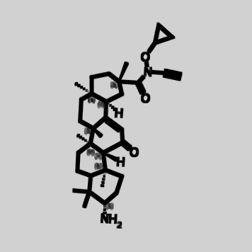 C#CN(OC1CC1)C(=O)[C@@]1(C)CC[C@]2(C)CC[C@]3(C)C(=CC(=O)[C@@H]4[C@@]5(C)CC[C@H](N)C(C)(C)C5CC[C@]43C)[C@@H]2C1